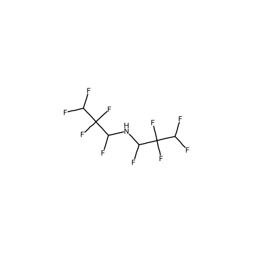 FC(F)C(F)(F)C(F)NC(F)C(F)(F)C(F)F